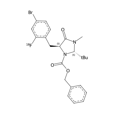 CN1C(=O)[C@H](Cc2ccc(Br)cc2[18F])N(C(=O)OCc2ccccc2)[C@H]1C(C)(C)C